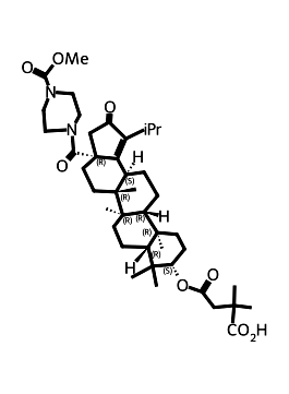 COC(=O)N1CCN(C(=O)[C@@]23CC[C@]4(C)[C@H](CC[C@@H]5[C@@]6(C)CC[C@H](OC(=O)CC(C)(C)C(=O)O)C(C)(C)[C@@H]6CC[C@]54C)C2=C(C(C)C)C(=O)C3)CC1